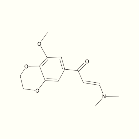 COc1cc(C(=O)C=CN(C)C)cc2c1OCCO2